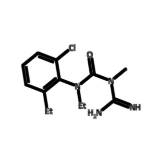 CCc1cccc(Cl)c1N(CC)C(=O)N(C)C(=N)N